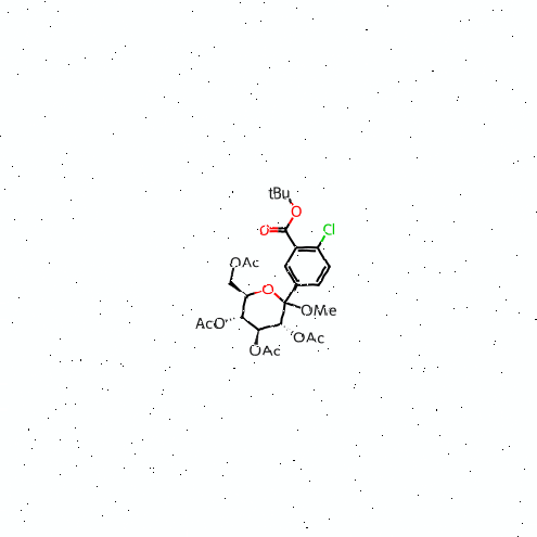 COC1(c2ccc(Cl)c(C(=O)OC(C)(C)C)c2)O[C@H](COC(C)=O)[C@@H](OC(C)=O)[C@H](OC(C)=O)[C@H]1OC(C)=O